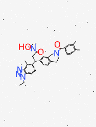 CCn1nnc2c(C)c([C@@H](CC(=O)N(C)O)c3ccc4c(c3)CN(C(=O)c3ccc(C)c(C)c3)CC4)ccc21